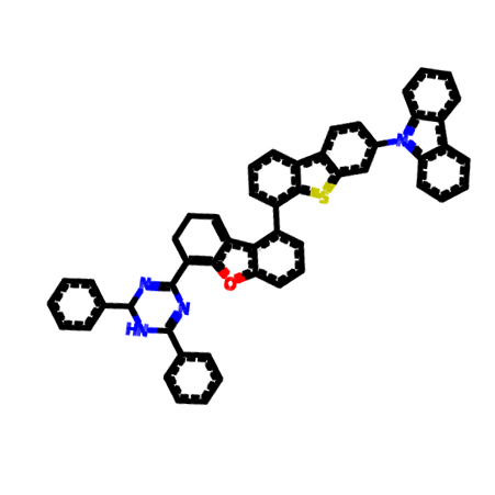 C1=c2c(oc3cccc(-c4cccc5c4sc4cc(-n6c7ccccc7c7ccccc76)ccc45)c23)=C(C2=NC(c3ccccc3)NC(c3ccccc3)=N2)CC1